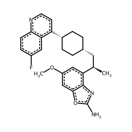 COc1cc([C@H](C)C[C@H]2CC[C@@H](c3ccnc4ccc(F)cc43)CC2)c2nc(N)oc2c1